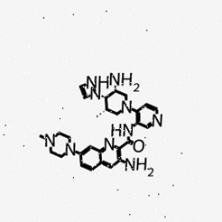 C[C@H]1CN(c2ccncc2NC(=O)c2nc3cc(N4CCN(C)CC4)ccc3cc2N)C[C@@H](N)[C@H]1n1cc[nH]1